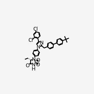 CC[C@H]1C(=O)NS(=O)(=O)N1c1ccc(-n2cc(-c3ccc(Cl)cc3Cl)nc2Cc2ccc(-c3ccc(C(C)(C)C)cc3)cc2)cc1